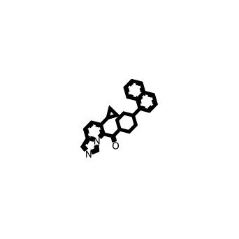 O=C(c1c(C2CC2)ccc2cncn12)C1CCC(c2cccc3ccccc23)CC1